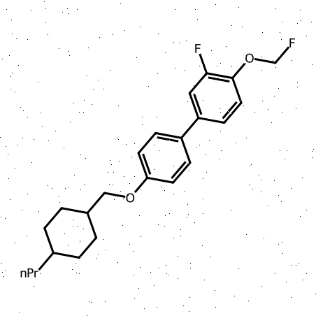 CCCC1CCC(COc2ccc(-c3ccc(OCF)c(F)c3)cc2)CC1